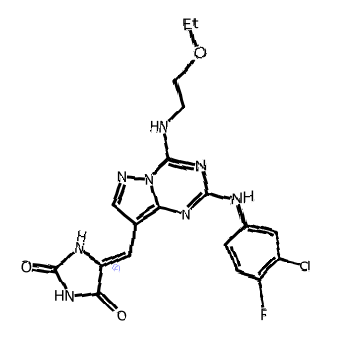 CCOCCNc1nc(Nc2ccc(F)c(Cl)c2)nc2c(/C=C3\NC(=O)NC3=O)cnn12